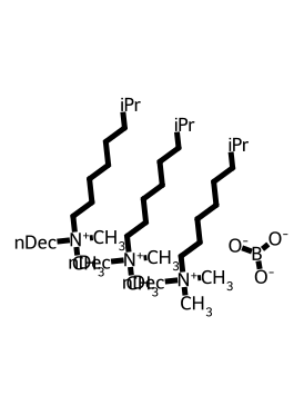 CCCCCCCCCC[N+](C)(C)CCCCCCC(C)C.CCCCCCCCCC[N+](C)(C)CCCCCCC(C)C.CCCCCCCCCC[N+](C)(C)CCCCCCC(C)C.[O-]B([O-])[O-]